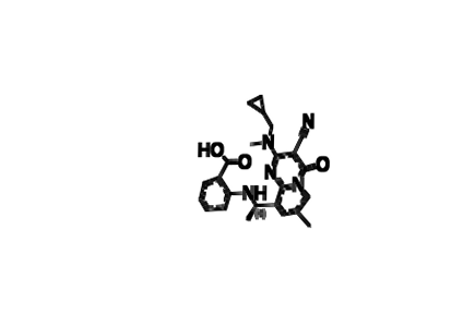 Cc1cc([C@@H](C)Nc2ccccc2C(=O)O)c2nc(N(C)CC3CC3)c(C#N)c(=O)n2c1